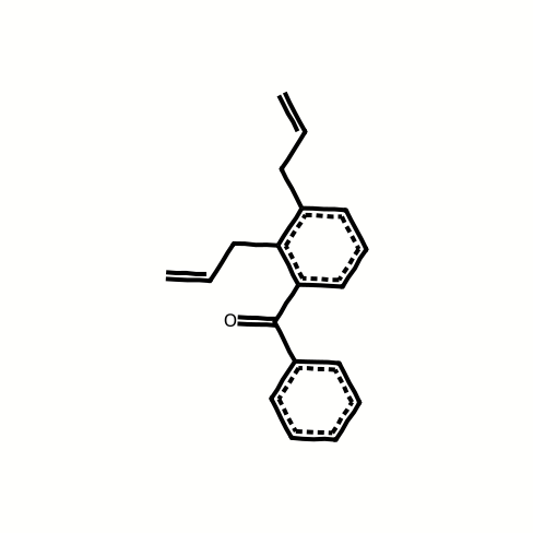 C=CCc1cccc(C(=O)c2ccccc2)c1CC=C